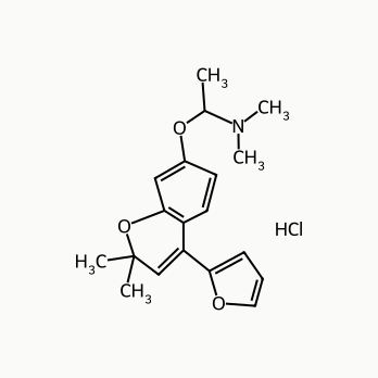 CC(Oc1ccc2c(c1)OC(C)(C)C=C2c1ccco1)N(C)C.Cl